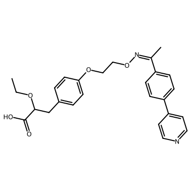 CCOC(Cc1ccc(OCCON=C(C)c2ccc(-c3ccncc3)cc2)cc1)C(=O)O